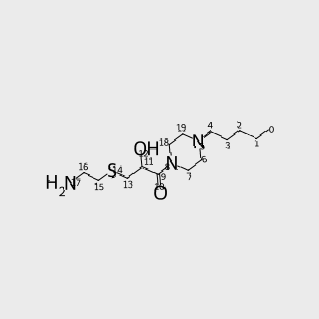 CCCCCN1CCN(C(=O)C(O)CSCCN)CC1